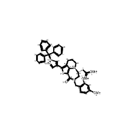 COC(=O)C[C@@H]1CN(Cc2ccc(OC)cc2OC)C(=O)c2sc(-c3cnn(C(c4ccccc4)(c4ccccc4)c4ccccc4)c3)c3c2N1CCC3